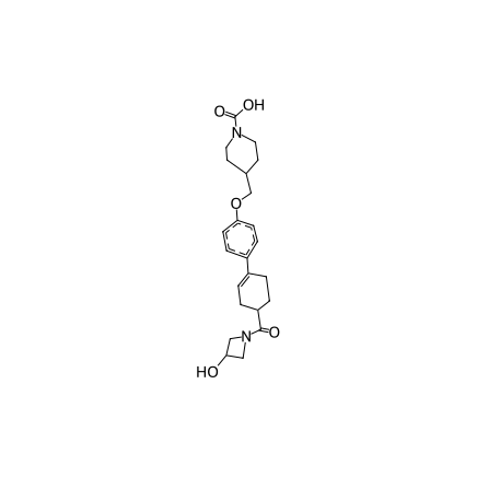 O=C(O)N1CCC(COc2ccc(C3=CCC(C(=O)N4CC(O)C4)CC3)cc2)CC1